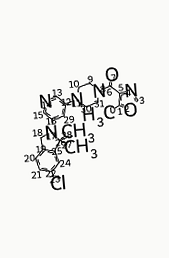 Cc1ocnc1C(=O)N1CCN(c2cncc(N3Cc4ccc(Cl)cc4C3(C)C)c2)CC1